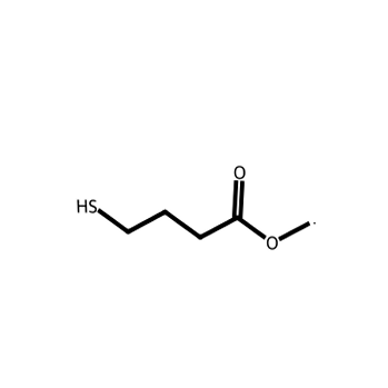 [CH2]OC(=O)CCCS